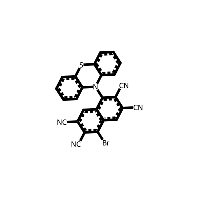 N#Cc1cc2c(N3c4ccccc4Sc4ccccc43)c(C#N)c(C#N)cc2c(Br)c1C#N